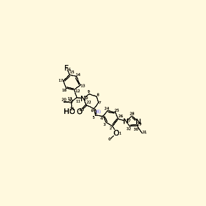 COc1cc(/C=C2\CCCN(C(c3ccc(F)cc3)[C@H](C)O)C2=O)ccc1-n1cnc(C)c1